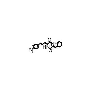 CN(C)c1ccc(C=C/C=c2\[nH]c(=O)/c(=C/c3ccccc3)[nH]c2=O)cc1